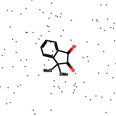 COC1(OC)C(=O)C(=O)c2ccccc21